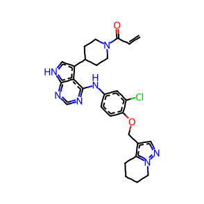 C=CC(=O)N1CCC(c2c[nH]c3ncnc(Nc4ccc(OCc5cnn6c5CCCC6)c(Cl)c4)c23)CC1